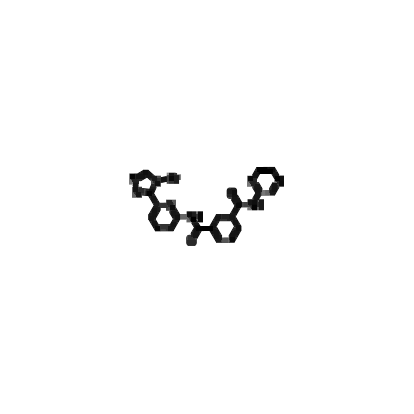 CC(C)n1cnnc1-c1cccc(NC(=O)c2cccc(C(=O)Nc3cnccn3)c2)n1